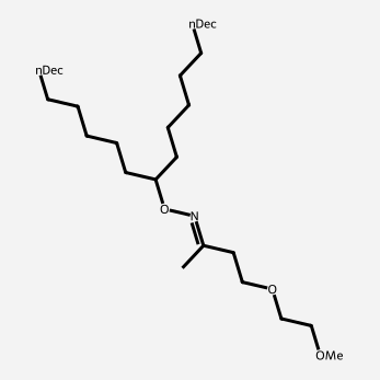 CCCCCCCCCCCCCCCC(CCCCCCCCCCCCCCC)O/N=C(\C)CCOCCOC